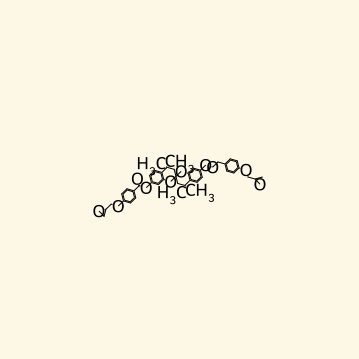 CC1(C)CC2(CC(C)(C)c3ccc(OC(=O)c4ccc(OCC5CO5)cc4)cc3O2)Oc2cc(OOCc3ccc(OCC4CO4)cc3)ccc21